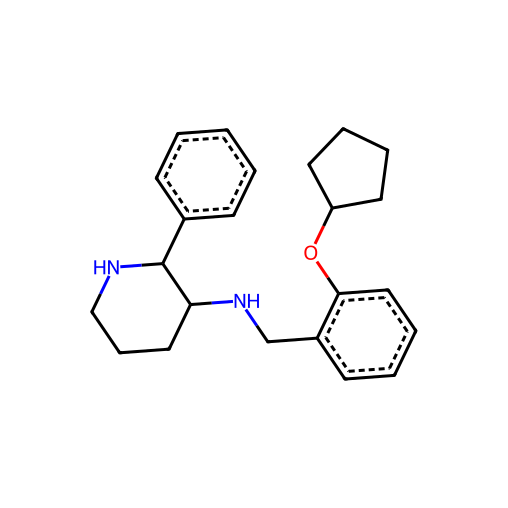 c1ccc(C2NCCCC2NCc2ccccc2OC2CCCC2)cc1